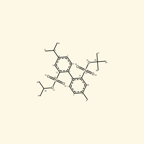 Cc1ccc(-c2ccc(C(C)C)cc2S(=O)(=O)OC(C)C)c(S(=O)(=O)OC(C)(C)C)c1